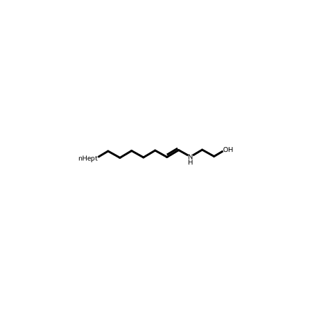 CCCCCCCCCCCCC=CNCCO